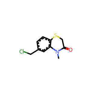 CN1C(=O)CSc2ccc(CCl)cc21